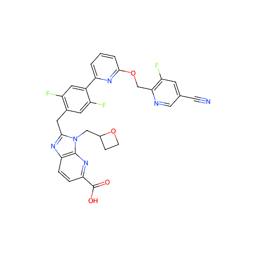 N#Cc1cnc(COc2cccc(-c3cc(F)c(Cc4nc5ccc(C(=O)O)nc5n4CC4CCO4)cc3F)n2)c(F)c1